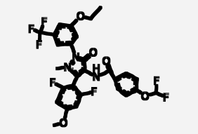 CCOc1cc(-n2c(=O)c(NC(=O)c3ccc(OC(F)F)cc3)c(-c3c(F)cc(OC)cc3F)n2C)cc(C(F)(F)F)c1